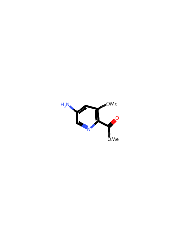 COC(=O)c1ncc(N)cc1OC